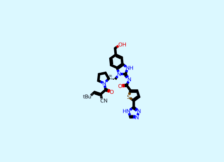 CC(C)(C)C=C(C#N)C(=O)N1CCC[C@@H]1Cn1c(=NC(=O)c2ccc(-c3nnc[nH]3)s2)[nH]c2cc(CO)ccc21